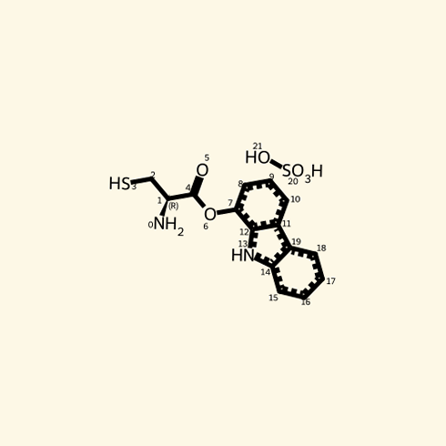 N[C@@H](CS)C(=O)Oc1cccc2c1[nH]c1ccccc12.O=S(=O)(O)O